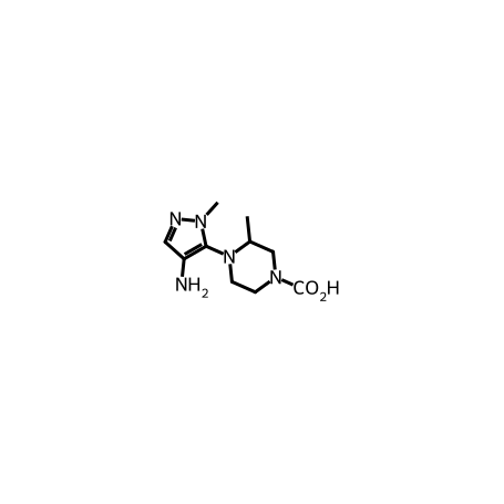 CC1CN(C(=O)O)CCN1c1c(N)cnn1C